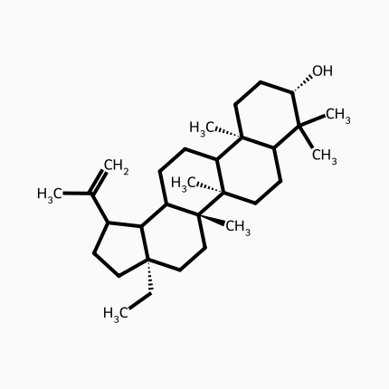 C=C(C)C1CC[C@]2(CC)CC[C@]3(C)C(CCC4[C@@]5(C)CC[C@H](O)C(C)(C)C5CC[C@]43C)C12